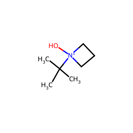 CC(C)(C)[N+]1(O)CCC1